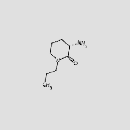 CCCN1CCC[C@H](N)C1=O